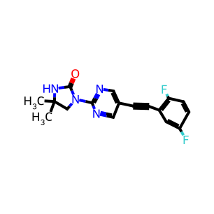 CC1(C)CN(c2ncc(C#Cc3cc(F)ccc3F)cn2)C(=O)N1